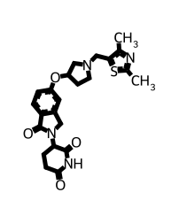 Cc1nc(C)c(CN2CCC(Oc3ccc4c(c3)CN(C3CCC(=O)NC3=O)C4=O)C2)s1